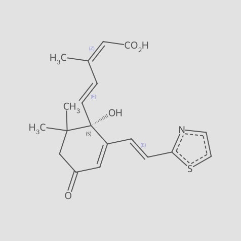 CC(=C/C(=O)O)/C=C/[C@@]1(O)C(/C=C/c2nccs2)=CC(=O)CC1(C)C